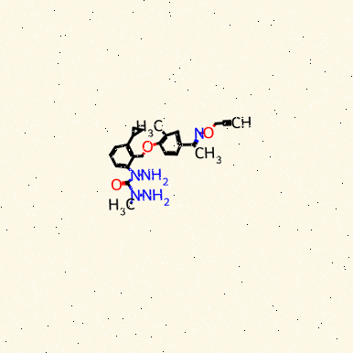 C#CCON=C(C)c1ccc(OCc2c(C3CC3)cccc2N(N)C(=O)N(C)N)c(C)c1